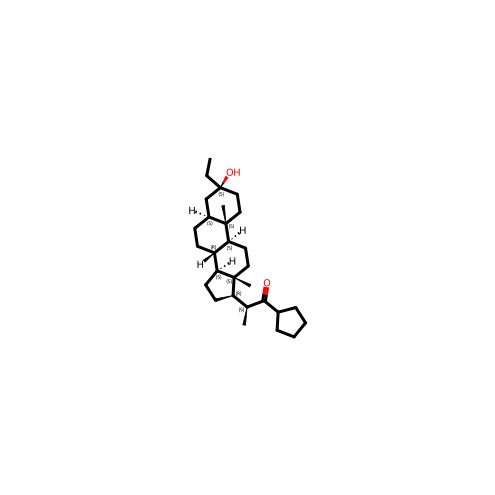 CC[C@]1(O)CC[C@@]2(C)[C@@H](CC[C@@H]3[C@@H]2CC[C@]2(C)[C@@H]([C@H](C)C(=O)C4CCCC4)CC[C@@H]32)C1